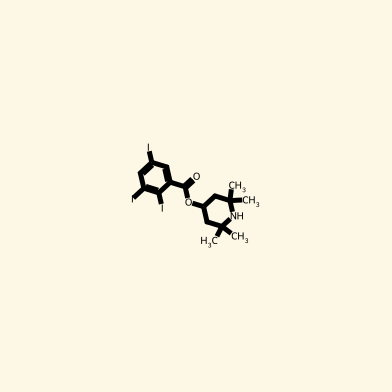 CC1(C)CC(OC(=O)c2cc(I)cc(I)c2I)CC(C)(C)N1